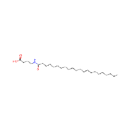 CCCCCCCCCCCCCCCCCCCCCC(=O)NCCCC(=O)O